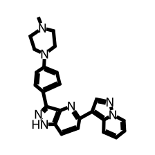 CN1CCN(c2ccc(-c3n[nH]c4ccc(-c5cnn6ccccc56)nc34)cc2)CC1